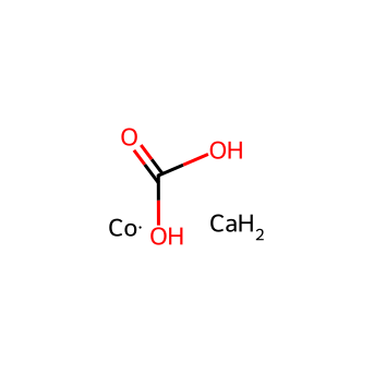 O=C(O)O.[CaH2].[Co]